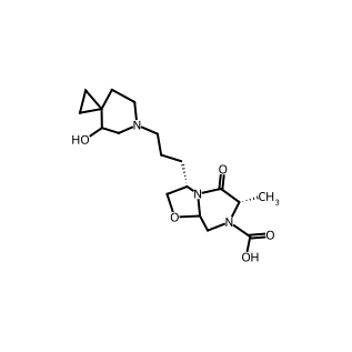 C[C@H]1C(=O)N2C(CN1C(=O)O)OC[C@@H]2CCCN1CCC2(CC2)C(O)C1